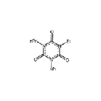 CCCn1c(=O)n(CC)c(=O)n(CCC)c1=O